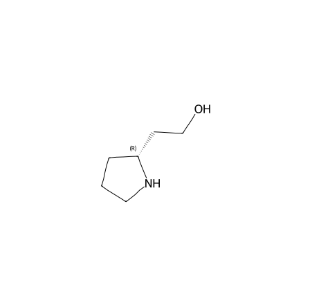 OCC[C@H]1CCCN1